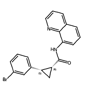 O=C(Nc1cccc2cccnc12)[C@@H]1C[C@@H]1c1cccc(Br)c1